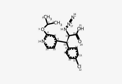 CC(C)Oc1cc([C@H](c2ccc(Cl)cc2)C(N=[N+]=[N-])C(=O)O)ccn1